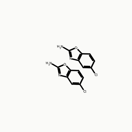 Nc1nc2cc(Cl)ccc2o1.Nc1nc2cc(Cl)ccc2o1